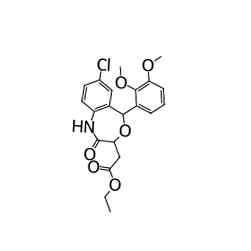 CCOC(=O)CC1OC(c2cccc(OC)c2OC)c2cc(Cl)ccc2NC1=O